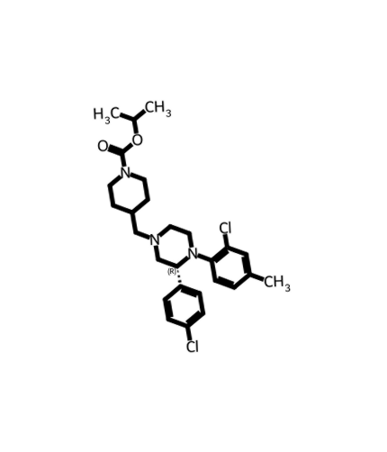 Cc1ccc(N2CCN(CC3CCN(C(=O)OC(C)C)CC3)C[C@H]2c2ccc(Cl)cc2)c(Cl)c1